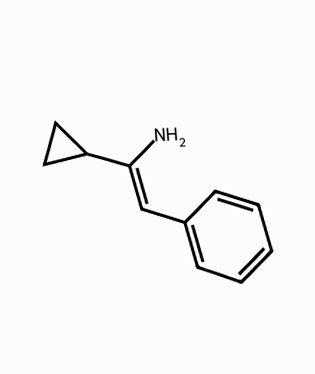 NC(=Cc1ccccc1)C1CC1